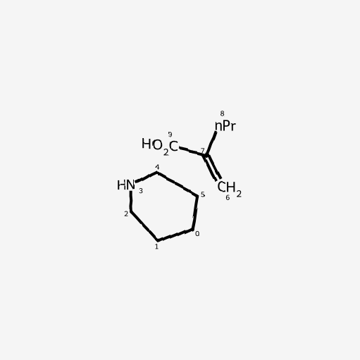 C1CCNCC1.C=C(CCC)C(=O)O